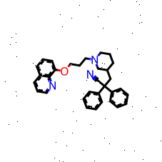 N#CC(CC1CCCN(CCCOc2cccc3cccnc23)C1)(c1ccccc1)c1ccccc1